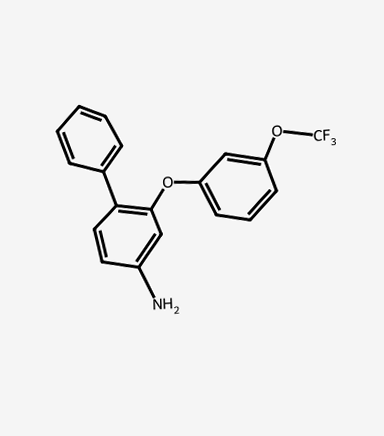 Nc1ccc(-c2ccccc2)c(Oc2cccc(OC(F)(F)F)c2)c1